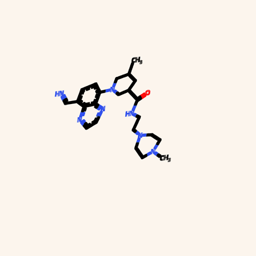 CC1CC(C(=O)NCCN2CCN(C)CC2)CN(c2ccc(C=N)c3nccnc23)C1